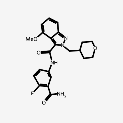 COc1cccc2nn(CC3CCOCC3)c(C(=O)Nc3ccc(F)c(C(N)=O)c3)c12